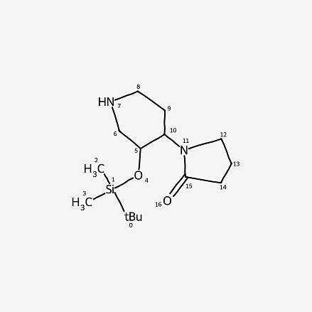 CC(C)(C)[Si](C)(C)OC1CNCCC1N1CCCC1=O